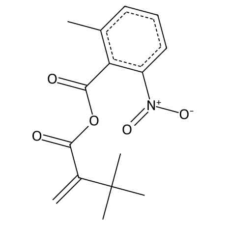 C=C(C(=O)OC(=O)c1c(C)cccc1[N+](=O)[O-])C(C)(C)C